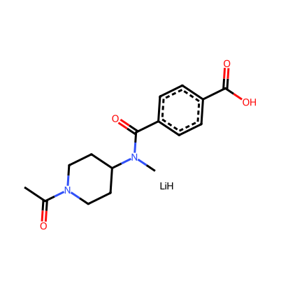 CC(=O)N1CCC(N(C)C(=O)c2ccc(C(=O)O)cc2)CC1.[LiH]